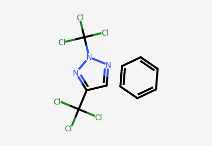 ClC(Cl)(Cl)c1cnn(C(Cl)(Cl)Cl)n1.c1ccccc1